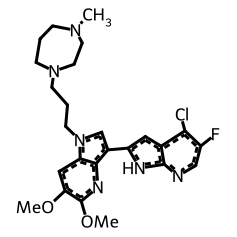 COc1cc2c(nc1OC)c(-c1cc3c(Cl)c(F)cnc3[nH]1)cn2CCCN1CCCN(C)CC1